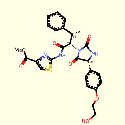 COC(=O)c1csc(NC(=O)[C@H]([C@@H](C)c2ccccc2)N2C(=O)N[C@H](c3ccc(OCCO)cc3)C2=O)n1